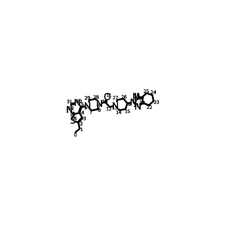 CCc1cc2c(N3CCN(C(=O)CN4CCC(n5nc6c(n5)CCCC6)CC4)CC3)ncnc2s1